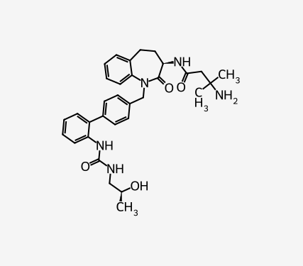 C[C@H](O)CNC(=O)Nc1ccccc1-c1ccc(CN2C(=O)[C@H](NC(=O)CC(C)(C)N)CCc3ccccc32)cc1